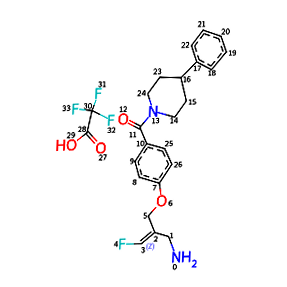 NC/C(=C/F)COc1ccc(C(=O)N2CCC(c3ccccc3)CC2)cc1.O=C(O)C(F)(F)F